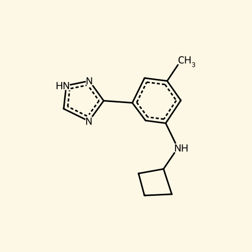 Cc1cc(NC2CCC2)cc(-c2nc[nH]n2)c1